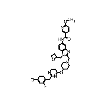 COc1ccc(C(=O)Nc2ccc3c(c2)nc(CN2CCC(Oc4ccnc(Cc5ccc(Cl)cc5F)n4)CC2)n3CC2CCO2)cn1